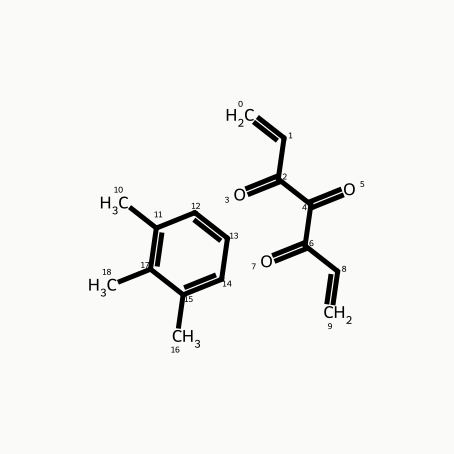 C=CC(=O)C(=O)C(=O)C=C.Cc1cccc(C)c1C